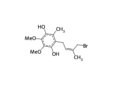 COc1c(O)c(C)c(CC=C(C)CBr)c(O)c1OC